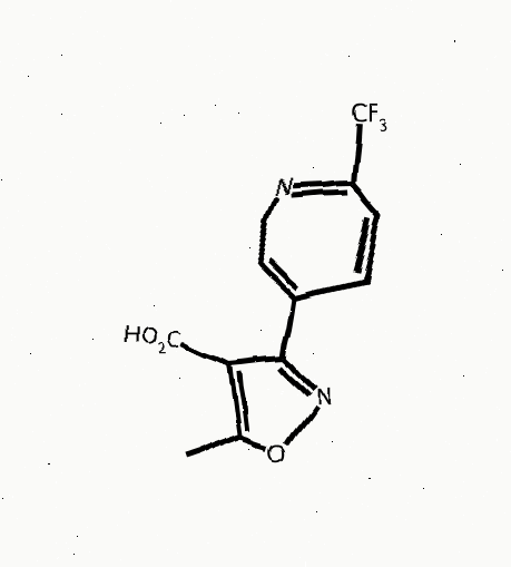 Cc1onc(-c2ccc(C(F)(F)F)nc2)c1C(=O)O